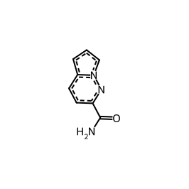 NC(=O)c1ccc2cccn2n1